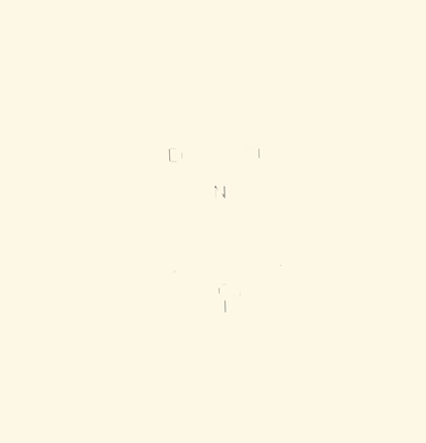 CC[N+]1(CC)C[CH2][GaH][CH2]C1